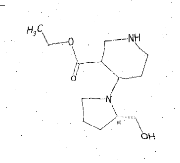 CCOC(=O)C1CNCCC1N1CCC[C@H]1CO